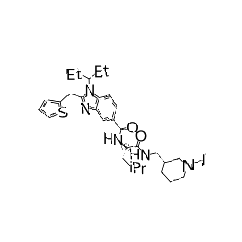 CCC(CC)n1c(Cc2cccs2)nc2cc(C(=O)N[C@@H](CC(C)C)C(=O)NCC3CCCN(I)C3)ccc21